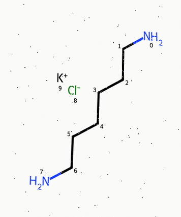 NCCCCCCN.[Cl-].[K+]